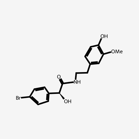 COc1cc(CCNC(=O)[C@@H](O)c2ccc(Br)cc2)ccc1O